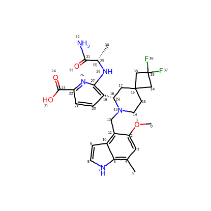 COc1cc(C)c2[nH]ccc2c1CN1CCC2(C[C@H]1c1ccc(C(=O)O)nc1N[C@@H](C)C(N)=O)CC(F)(F)C2